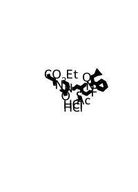 CCOC(=O)CCCN1CCN(C/C=C2/CN(C(C(=O)C3CC3)c3ccccc3F)CCC2SC(C)=O)C(=O)C1.Cl.Cl